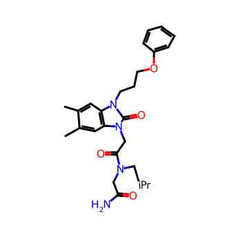 Cc1cc2c(cc1C)n(CC(=O)N(CC(N)=O)CC(C)C)c(=O)n2CCCOc1ccccc1